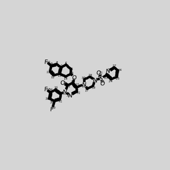 O=c1c(OC2CCc3cc(F)ccc3C2)c(N2CCN(S(=O)(=O)c3ccccn3)CC2)cnn1-c1cc(F)cc(F)c1